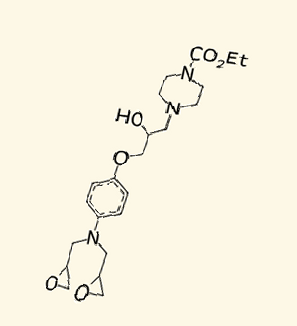 CCOC(=O)N1CCN(CC(O)COc2ccc(N(CC3CO3)CC3CO3)cc2)CC1